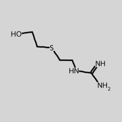 N=C(N)NCCSCCO